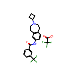 O=C(Nc1ccc2c(c1)CCN(C1CCC1)CC2)c1cccc(C(F)(F)F)c1.O=C(O)C(F)(F)F